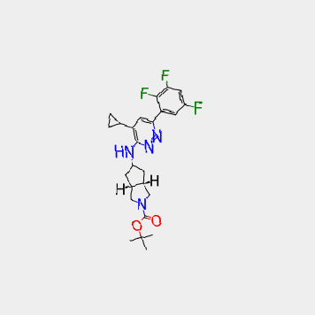 CC(C)(C)OC(=O)N1C[C@H]2CC(Nc3nnc(-c4cc(F)cc(F)c4F)cc3C3CC3)C[C@H]2C1